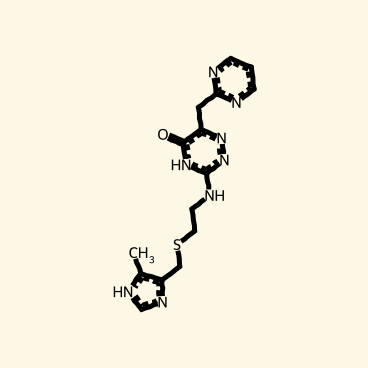 Cc1[nH]cnc1CSCCNc1nnc(Cc2ncccn2)c(=O)[nH]1